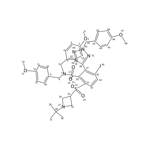 COc1ccc(CN(Cc2ccc(OC)cc2)S(=O)(=O)c2c(S(=O)(=O)C3CN(C(C)(C)C)C3)ccc(I)c2-c2nnn(Cc3ccc(OC)cc3)n2)cc1